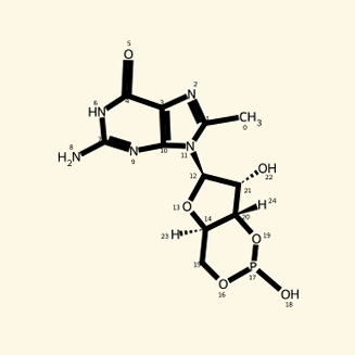 Cc1nc2c(=O)[nH]c(N)nc2n1[C@@H]1O[C@@H]2COP(O)O[C@H]2[C@H]1O